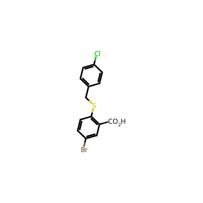 O=C(O)c1cc(Br)ccc1SCc1ccc(Cl)cc1